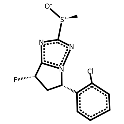 C[S@+]([O-])c1nc2n(n1)[C@H](c1ccccc1Cl)C[C@@H]2F